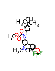 COC(=O)C(=O)N(Cc1ccc(C(C)(C)C)cc1)c1ccc(N(C)C)c(-c2ccc(OC(F)(F)F)cc2)c1